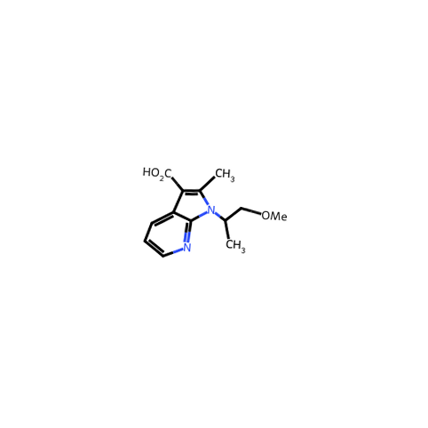 COCC(C)n1c(C)c(C(=O)O)c2cccnc21